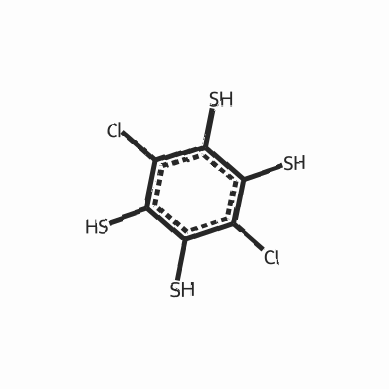 Sc1c(S)c(Cl)c(S)c(S)c1Cl